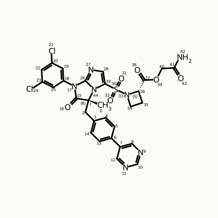 C[C@@]1(Cc2ccc(-c3cncnc3)cc2)C(=O)N(c2cc(Cl)cc(Cl)c2)c2ncc(S(=O)(=O)N3CC[C@H]3C(=O)OCC(N)=O)n21